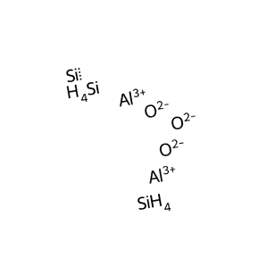 [Al+3].[Al+3].[O-2].[O-2].[O-2].[SiH4].[SiH4].[Si]